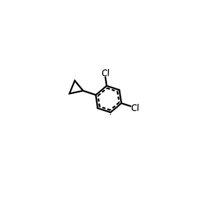 Clc1[c]cc(C2CC2)c(Cl)c1